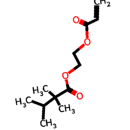 C=CC(=O)OCCOC(=O)C(C)(C)C(C)C